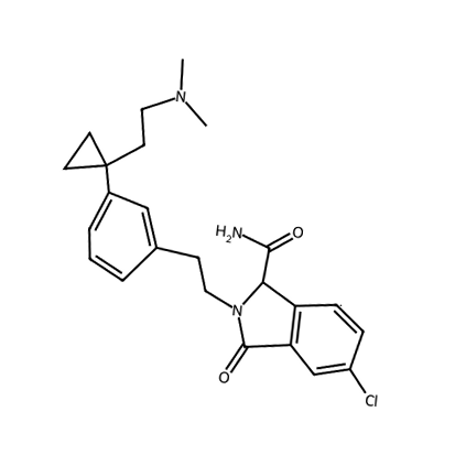 CN(C)CCC1(c2cccc(CCN3C(=O)c4cc(Cl)c[c]c4C3C(N)=O)c2)CC1